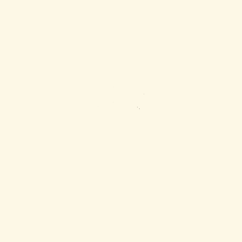 CC(C)(C)C(=O)C1SC(C(C)(C)C)CN1C(C)(C)C